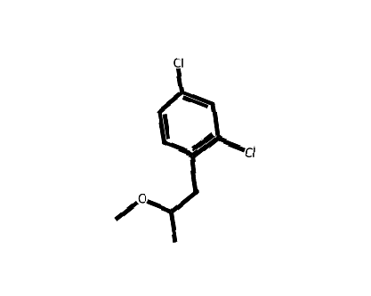 CO[C](C)Cc1ccc(Cl)cc1Cl